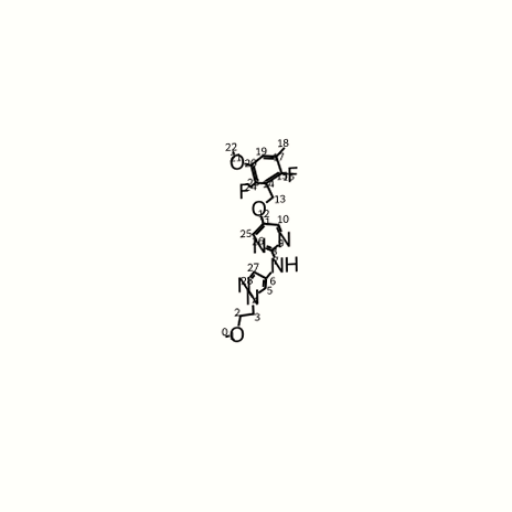 COCCn1cc(Nc2ncc(OCc3c(F)c(C)cc(OC)c3F)cn2)cn1